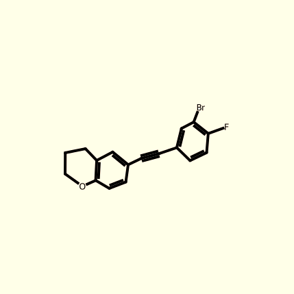 Fc1ccc(C#Cc2ccc3c(c2)CCCO3)cc1Br